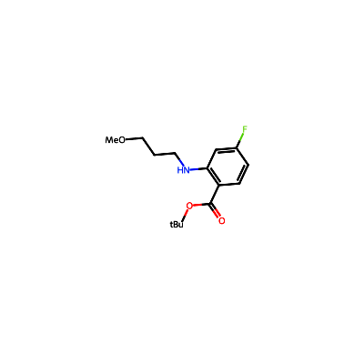 COCCCNc1cc(F)ccc1C(=O)OC(C)(C)C